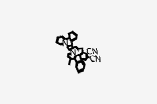 Cc1cc[n+]2c(c1-c1ccccc1)-c1ccc(C#N)c(C#N)c1C/C=C/C21CC2C1c1ccccc1-c1cccc[n+]12